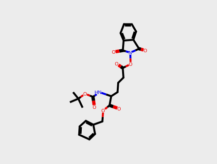 CC(C)(C)OC(=O)NC(CCCC(=O)ON1C(=O)c2ccccc2C1=O)C(=O)OCc1ccccc1